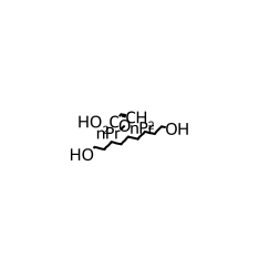 C=CC(=O)O.CCCOCCC.OCCCCCCCCCO